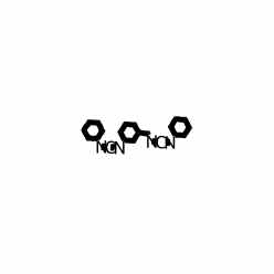 C(=NCC1CCCC(N=C=NC2CCCCC2)C1)=NC1CCCCC1